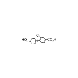 O=C(O)c1ccc(N2CCC(CO)CC2)c(Cl)c1